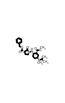 COC(=O)[C@H]1C[C@H](N(C)C(C)C)CC[C@@H]1NN1CC[C@H](C(=O)OCc2ccccc2)C1=O